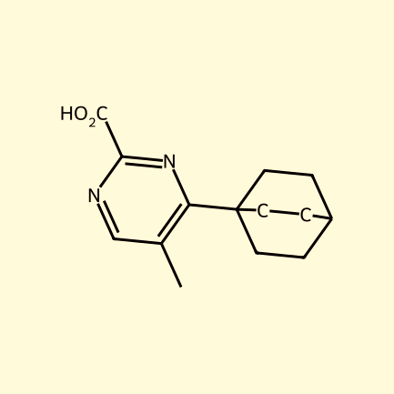 Cc1cnc(C(=O)O)nc1C12CCC(CC1)CC2